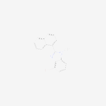 CCCCn1c(-c2cccc3ccccc23)nc2c(Br)cccc21